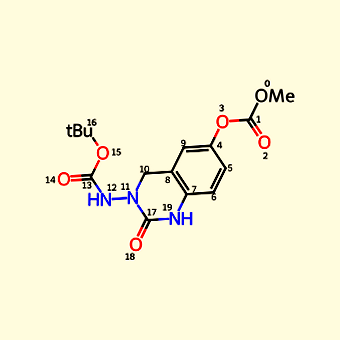 COC(=O)Oc1ccc2c(c1)CN(NC(=O)OC(C)(C)C)C(=O)N2